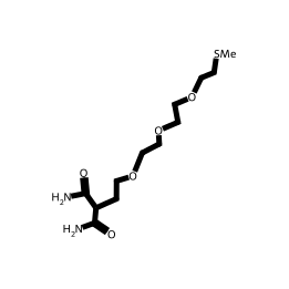 CSCCOCCOCCOCCC(C(N)=O)C(N)=O